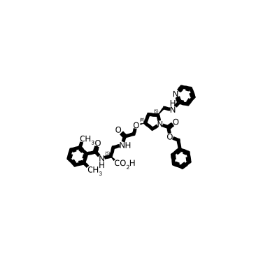 Cc1cccc(C)c1C(=O)N[C@@H](CNC(=O)CO[C@@H]1C[C@@H](CNc2ccccn2)N(C(=O)OCc2ccccc2)C1)C(=O)O